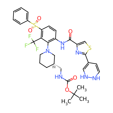 CC(C)(C)OC(=O)NC[C@@H]1CCCN(c2c(NC(=O)c3csc(C4=CNNC=C4)n3)ccc(S(=O)(=O)c3ccccc3)c2C(F)(F)F)C1